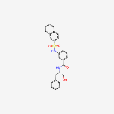 O=C(N[C@H](CO)Cc1ccccc1)c1cccc(NS(=O)(=O)c2ccc3ccccc3c2)c1